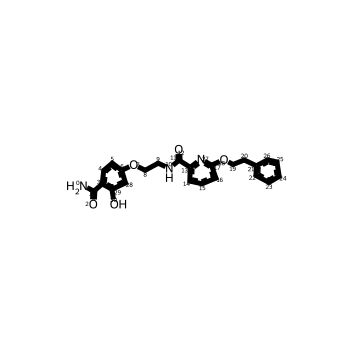 NC(=O)c1ccc(OCCNC(=O)c2cccc(OCCc3ccccc3)n2)cc1O